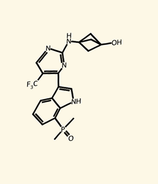 CP(C)(=O)c1cccc2c(-c3nc(NC45CC(O)(C4)C5)ncc3C(F)(F)F)c[nH]c12